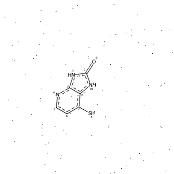 O=c1[nH]c2nccc(S)c2[nH]1